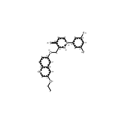 CCOc1cnc2ccc(OCc3nn(-c4cc(F)cc(F)c4)ccc3=S)cc2c1